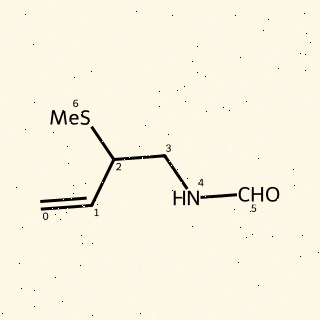 C=CC(CNC=O)SC